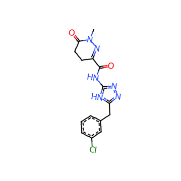 CN1N=C(C(=O)Nc2nnc(Cc3cccc(Cl)c3)[nH]2)CCC1=O